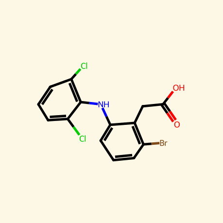 O=C(O)Cc1c(Br)cccc1Nc1c(Cl)cccc1Cl